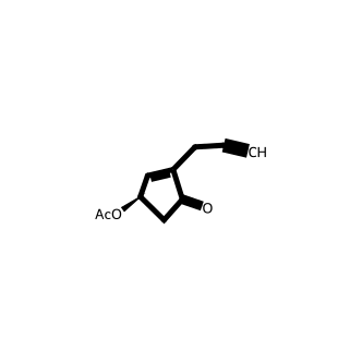 C#CCC1=C[C@H](OC(C)=O)CC1=O